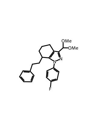 COC(OC)c1nn(-c2ccc(F)cc2)c2c1CCCC2CCc1ccccc1